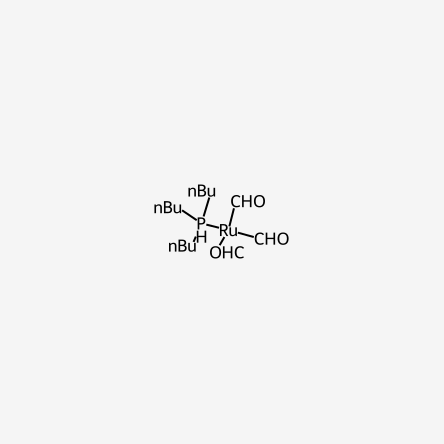 CCCC[PH](CCCC)(CCCC)[Ru]([CH]=O)([CH]=O)[CH]=O